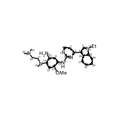 CCn1cc(-c2ccnc(Nc3cc(N)c(N(C)CCN(C)C)cc3OC)n2)c2ccccc21